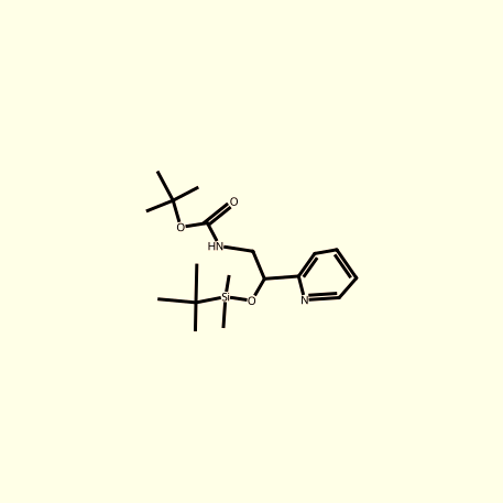 CC(C)(C)OC(=O)NCC(O[Si](C)(C)C(C)(C)C)c1ccccn1